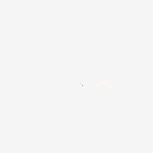 C=C(O)NCc1ccccc1